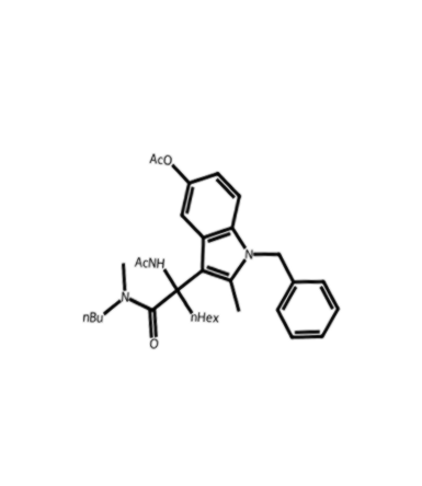 CCCCCCC(NC(C)=O)(C(=O)N(C)CCCC)c1c(C)n(Cc2ccccc2)c2ccc(OC(C)=O)cc12